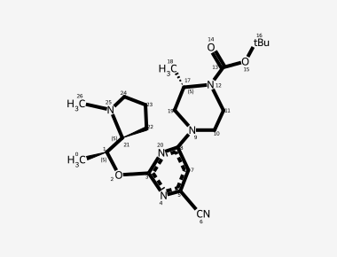 C[C@H](Oc1nc(C#N)cc(N2CCN(C(=O)OC(C)(C)C)[C@@H](C)C2)n1)[C@@H]1CCCN1C